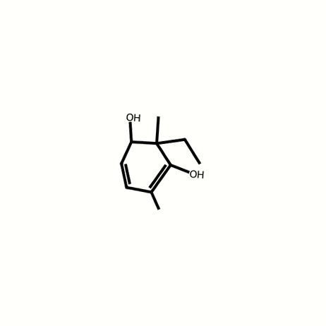 CCC1(C)C(O)=C(C)C=CC1O